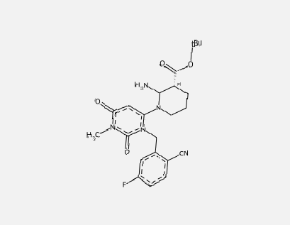 Cn1c(=O)cc(N2CCC[C@@H](C(=O)OC(C)(C)C)C2N)n(Cc2cc(F)ccc2C#N)c1=O